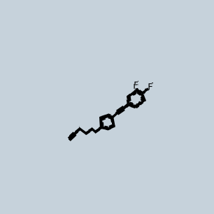 C#CCCCCc1ccc(C#Cc2ccc(F)c(F)c2)cc1